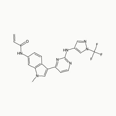 C=CC(=O)Nc1ccc2c(-c3ccnc(Nc4cnn(C(F)(F)F)c4)n3)cn(C)c2c1